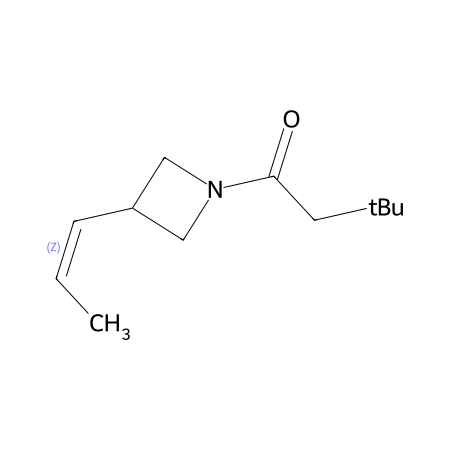 C/C=C\C1CN(C(=O)CC(C)(C)C)C1